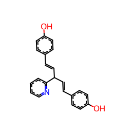 Oc1ccc(C=CC(C=Cc2ccc(O)cc2)c2ccccn2)cc1